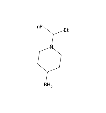 BC1CCN(C(CC)CCC)CC1